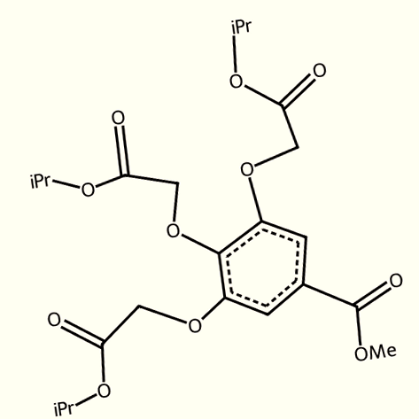 COC(=O)c1cc(OCC(=O)OC(C)C)c(OCC(=O)OC(C)C)c(OCC(=O)OC(C)C)c1